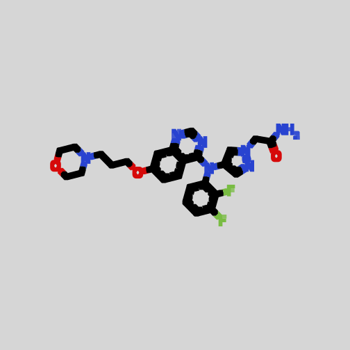 NC(=O)Cn1cc(N(c2cccc(F)c2F)c2ncnc3cc(OCCCN4CCOCC4)ccc23)cn1